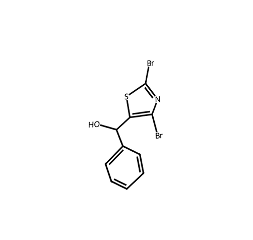 OC(c1ccccc1)c1sc(Br)nc1Br